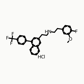 COc1cc(CCNCCc2cc(-c3ccc(C(F)(F)F)cc3)c3ccccc3c2)ccc1F.Cl